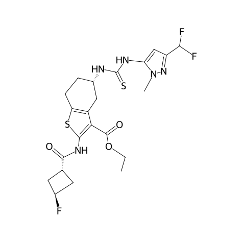 CCOC(=O)c1c(NC(=O)[C@H]2C[C@H](F)C2)sc2c1C[C@@H](NC(=S)Nc1cc(C(F)F)nn1C)CC2